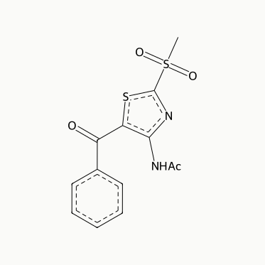 CC(=O)Nc1nc(S(C)(=O)=O)sc1C(=O)c1ccccc1